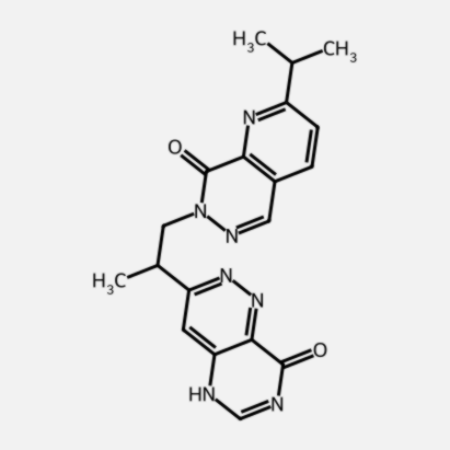 CC(C)c1ccc2cnn(CC(C)c3cc4[nH]cnc(=O)c4nn3)c(=O)c2n1